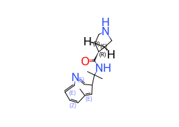 CC1=C\C(C(C)(C)NC(=O)[C@H]2[C@@H]3CNC[C@@H]32)/C=N/C=C/C=C\1